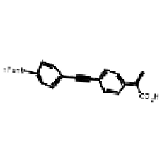 C=C(C(=O)O)c1ccc(C#Cc2ccc(CCCCC)cc2)cc1